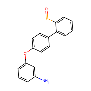 Nc1cccc(Oc2ccc(-c3ccccc3P=O)cc2)c1